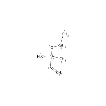 C=C[Si](C)(C)O[SiH2]C